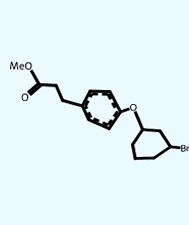 COC(=O)CCc1ccc(OC2CCCC(Br)C2)cc1